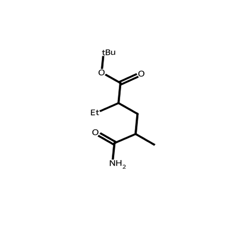 CCC(CC(C)C(N)=O)C(=O)OC(C)(C)C